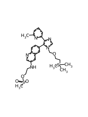 Cc1cccc(-c2ncn(COCC[Si](C)(C)C)c2-c2ccc3ncc(NCCOS(C)(=O)=O)cc3c2)n1